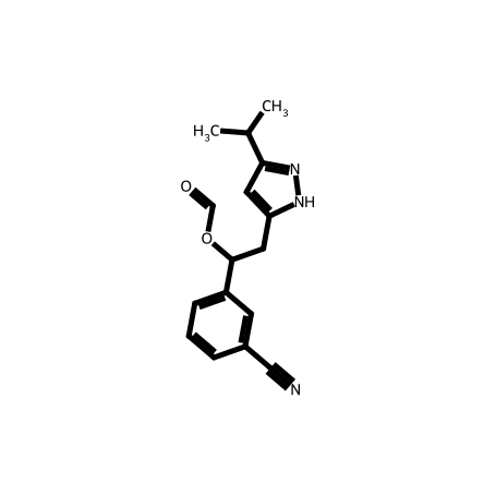 CC(C)c1cc(CC(OC=O)c2cccc(C#N)c2)[nH]n1